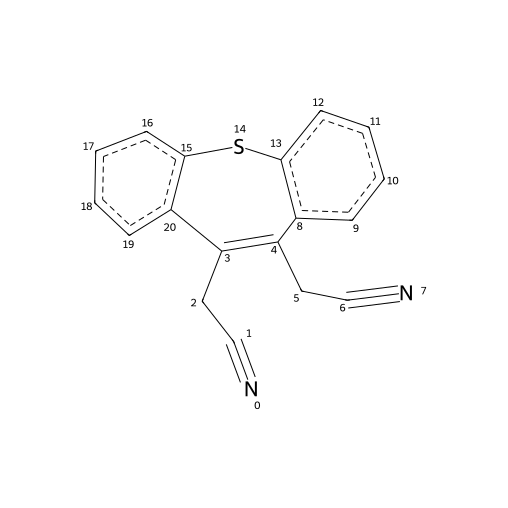 N#CCC1=C(CC#N)c2ccccc2Sc2ccccc21